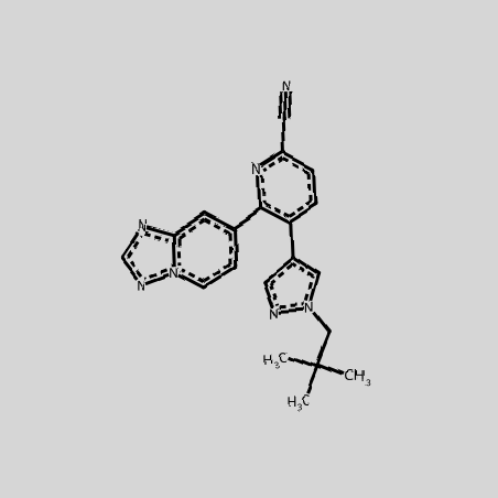 CC(C)(C)Cn1cc(-c2ccc(C#N)nc2-c2ccn3ncnc3c2)cn1